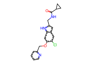 O=C(NCc1cc2cc(Cl)c(OCc3ccccn3)cc2[nH]1)C1CC1